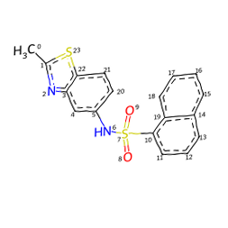 Cc1nc2cc(NS(=O)(=O)c3cccc4ccccc34)ccc2s1